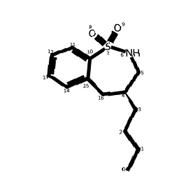 CCCC[C@@H]1CNS(=O)(=O)c2ccccc2C1